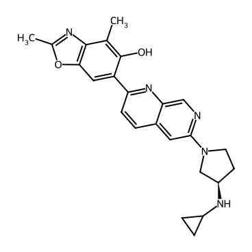 Cc1nc2c(C)c(O)c(-c3ccc4cc(N5CC[C@@H](NC6CC6)C5)ncc4n3)cc2o1